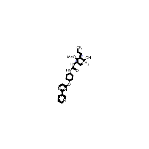 C=C/C(NC(=O)N[C@H]1CC[C@H](Oc2ccnc(-c3cccnc3)n2)CC1)=C(OC)\C(=C/CC(F)(F)F)CO